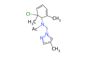 CC(=O)N(Cn1cc(C)cn1)C1C(C)=CC=CC1(C)Cl